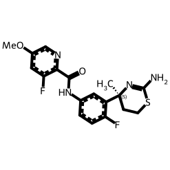 COc1cnc(C(=O)Nc2ccc(F)c([C@]3(C)CCSC(N)=N3)c2)c(F)c1